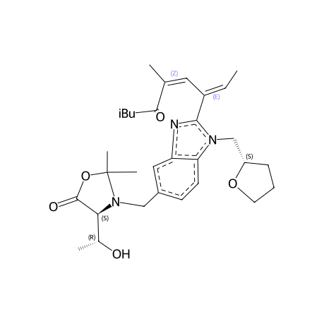 C/C=C(\C=C(\C)C(=O)C(C)CC)c1nc2cc(CN3[C@@H]([C@@H](C)O)C(=O)OC3(C)C)ccc2n1C[C@@H]1CCCO1